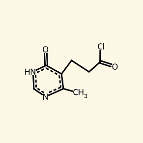 Cc1nc[nH]c(=O)c1CCC(=O)Cl